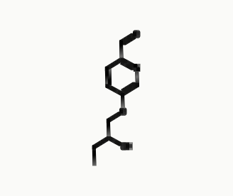 CCC(O)COc1ccc(C=O)nc1